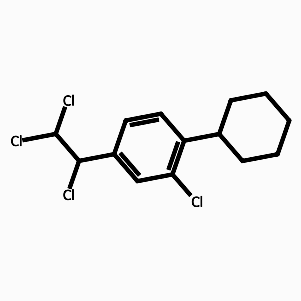 Clc1cc(C(Cl)C(Cl)Cl)ccc1C1CCCCC1